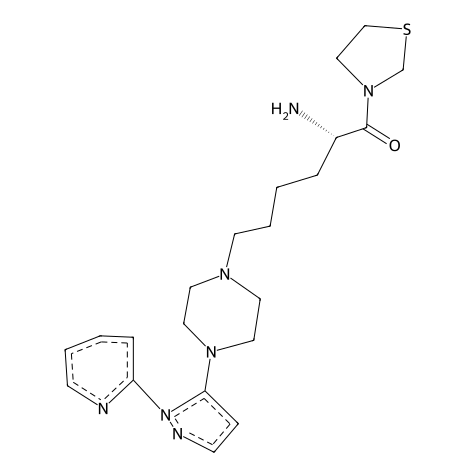 N[C@@H](CCCCN1CCN(c2ccnn2-c2ccccn2)CC1)C(=O)N1CCSC1